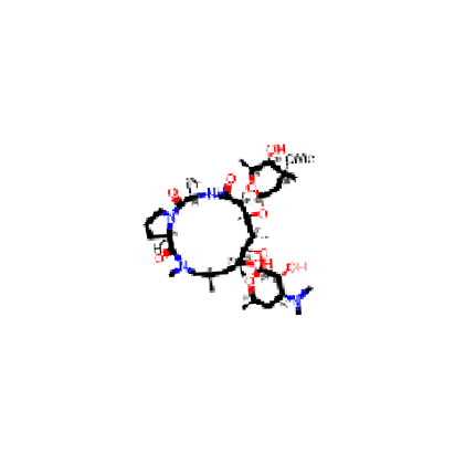 CO[C@]1(C)C[C@H](O[C@H]2[C@H](C)[C@@H](O[C@@H]3O[C@H](C)C[C@H](N(C)C)[C@H]3O)[C@](C)(O)C[C@@H](C)CN(C)C(=O)[C@H]3CCCN3C(=O)[C@H](C(C)C)NC(=O)[C@@H]2C)O[C@@H](C)[C@@H]1O